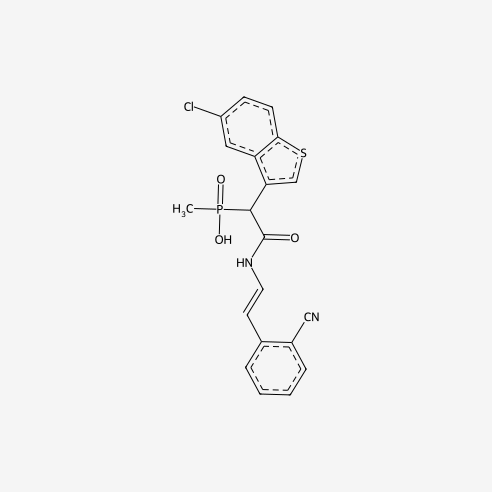 CP(=O)(O)C(C(=O)NC=Cc1ccccc1C#N)c1csc2ccc(Cl)cc12